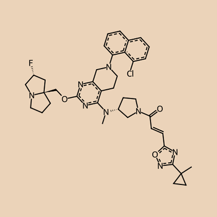 CN(c1nc(OC[C@@]23CCCN2C[C@H](F)C3)nc2c1CCN(c1cccc3cccc(Cl)c13)C2)[C@@H]1CCN(C(=O)/C=C/c2nc(C3(C)CC3)no2)C1